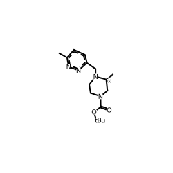 Cc1ccc(CN2CCN(C(=O)OC(C)(C)C)C[C@@H]2C)nn1